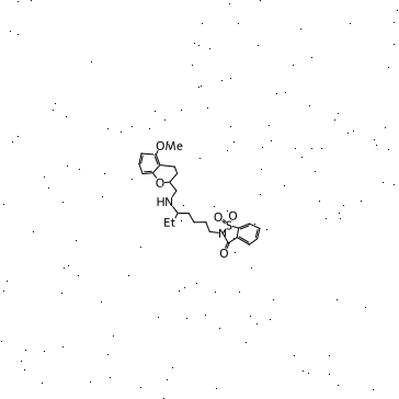 CCC(CCCCN1C(=O)c2ccccc2S1(=O)=O)NCC1CCc2c(OC)cccc2O1